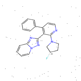 F[C@H]1CCN(c2nccc(-c3ccccc3)c2-c2nc3ccccn3n2)C1